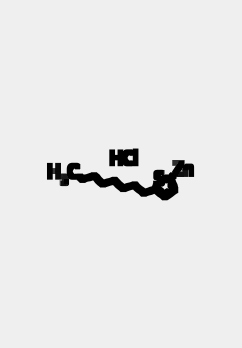 CCCCCCCCc1cc[c]([Zn])s1.Cl